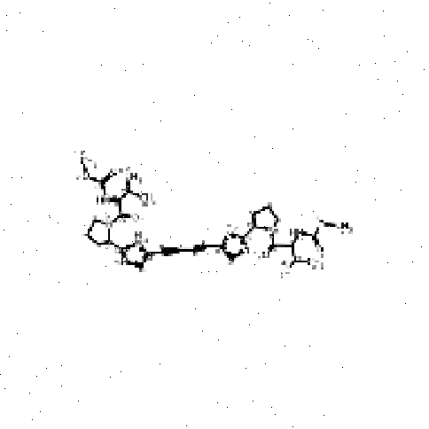 COC(=O)NC(C(=O)N1CCCC1c1ncc(C#CC#Cc2cnc(C3CCCN3C(=O)C(NC(=O)OC)C(C)C)[nH]2)[nH]1)C(C)C